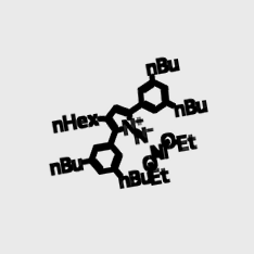 CCCCCCC1=C(c2cc(CCCC)cc(CCCC)c2)[N+](=[N-])C(c2cc(CCCC)cc(CCCC)c2)=C1.CC[O][Ni][O]CC